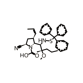 C/C=C\[C@@H]1C[C@H](C#N)N(C(=O)O)[C@H]1[C@@H](NSC(c1ccccc1)(c1ccccc1)c1ccccc1)[C@](C)(CCC)OC